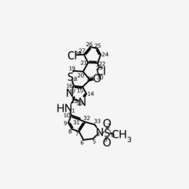 CS(=O)(=O)N1CCc2ccc(Nc3ncc4c(n3)SCC(c3c(Cl)cccc3Cl)C4=O)cc2C1